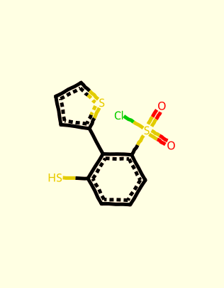 O=S(=O)(Cl)c1cccc(S)c1-c1cccs1